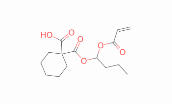 C=CC(=O)OC(CCC)OC(=O)C1(C(=O)O)CCCCC1